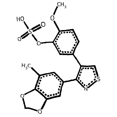 COc1ccc(-c2csnc2-c2cc(C)c3c(c2)OCO3)cc1OS(=O)(=O)O